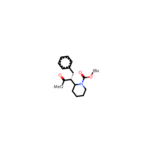 COC(=O)[C@H](Cc1ccccc1)C1CCCCN1C(=O)OC(C)(C)C